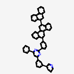 c1ccc(-c2cc(-c3cccc(-c4cccnc4)c3)nc(-c3cccc(-c4cc5c6ccccc6c(-c6cc7ccccc7c7ccccc67)cc5c5ccccc45)c3)n2)cc1